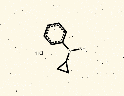 Cl.NN(c1ccccc1)C1CC1